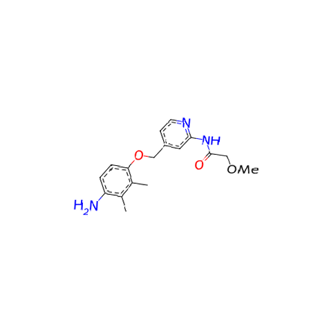 COCC(=O)Nc1cc(COc2ccc(N)c(C)c2C)ccn1